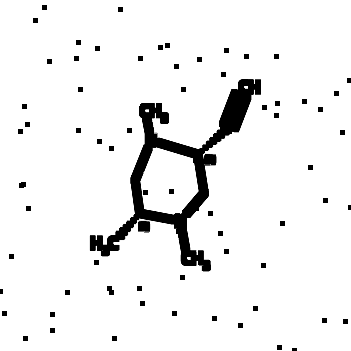 C#C[C@@H]1CN(C)[C@H](C)CN1C